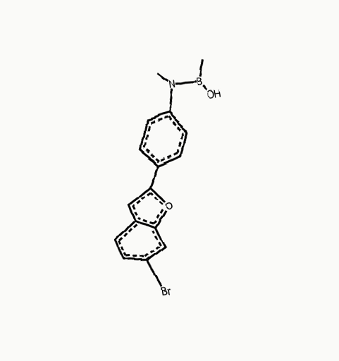 CB(O)N(C)c1ccc(-c2cc3ccc(Br)cc3o2)cc1